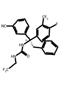 N#Cc1cccc([C@](Cc2ccccc2)(NC(=O)NCC(F)(F)F)c2ccc(F)c(C(F)(F)F)c2)c1